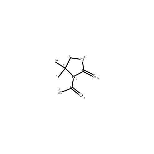 CCC(=O)N1C(=S)OCC1(C)C